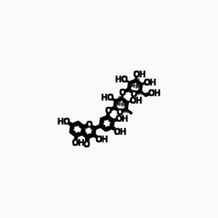 C[C@H]1OC(Oc2cc(-c3oc4cc(O)cc(O)c4c(=O)c3O)cc(O)c2O)[C@@H](O)[C@@H](OC2O[C@H](CO)[C@H](O)[C@H](O)[C@H]2O)[C@@H]1O